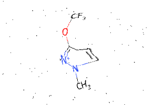 CN1C=CC(OC(F)(F)F)=[N+]1